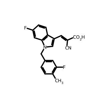 Cc1ccc(Cn2cc(/C=C(\C#N)C(=O)O)c3ccc(F)cc32)cc1F